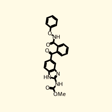 COC(=O)Nc1nc2cc(C(=O)c3ccccc3C(=O)NOc3ccccc3)ccc2[nH]1